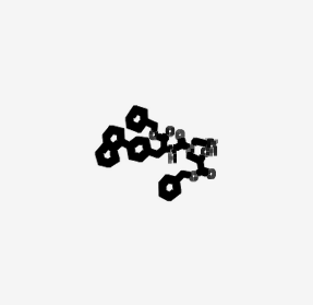 CC(C)CN(CC(O)C(=O)OCc1ccccc1)C(=O)NC(Cc1ccc(-c2cccc3ccccc23)cc1)C(=O)OCc1ccccc1